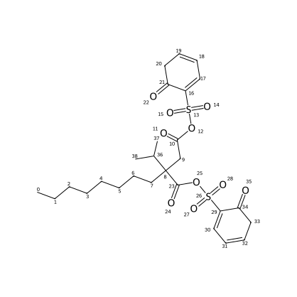 CCCCCCCCC(CC(=O)OS(=O)(=O)C1=CC=CCC1=O)(C(=O)OS(=O)(=O)C1=CC=CCC1=O)C(C)C